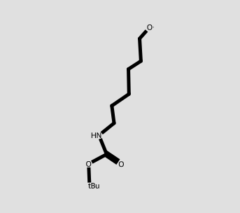 CC(C)(C)OC(=O)NCCCCCC[O]